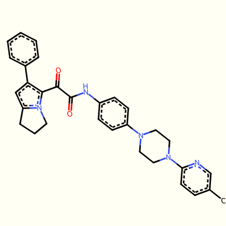 Cc1ccc(N2CCN(c3ccc(NC(=O)C(=O)c4c(-c5ccccc5)cc5n4CCC5)cc3)CC2)nc1